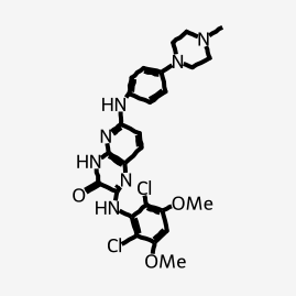 COc1cc(OC)c(Cl)c(Nc2nc3ccc(Nc4ccc(N5CCN(C)CC5)cc4)nc3[nH]c2=O)c1Cl